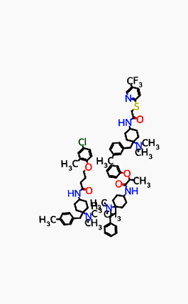 CC(Oc1ccccc1)C(=O)NC1CCC(CCc2ccccc2)(N(C)C)CC1.Cc1ccc(CC2(N(C)C)CCC(NC(=O)CCCOc3ccc(Cl)cc3C)CC2)cc1.Cc1cccc(CC2(N(C)C)CCC(NC(=O)CSc3ccc(C(F)(F)F)cn3)CC2)c1